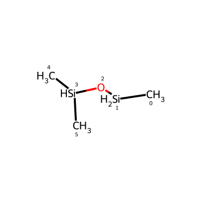 C[SiH2]O[SiH](C)C